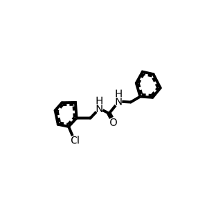 O=C(NCc1ccccc1)NCc1ccccc1Cl